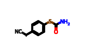 N#C[CH]c1ccc(SC(N)=O)cc1